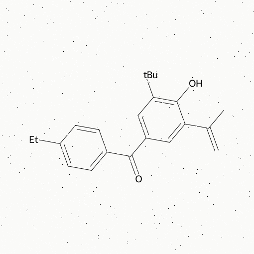 C=C(C)c1cc(C(=O)c2ccc(CC)cc2)cc(C(C)(C)C)c1O